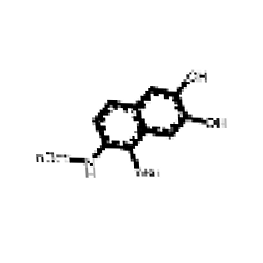 CCCCCCCCNc1ccc2cc(O)c(O)cc2c1CCCC